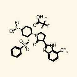 CCN(CC)[C@@H]1CC[C@H](N2CCC(c3nc4cccc(C(F)(F)F)c4[nH]3)C2=O)[C@H](CS(=O)(=O)c2ccccc2)C1.O=C(O)C(F)(F)F